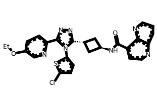 CCOc1ccc(-c2nnc([C@H]3C[C@H](NC(=O)c4ccnc5cccnc45)C3)n2-c2ccc(Cl)s2)nc1